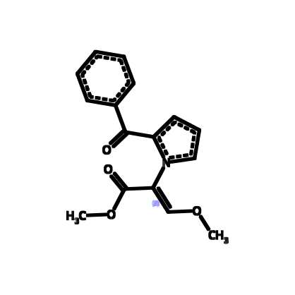 CO/C=C(/C(=O)OC)n1cccc1C(=O)c1ccccc1